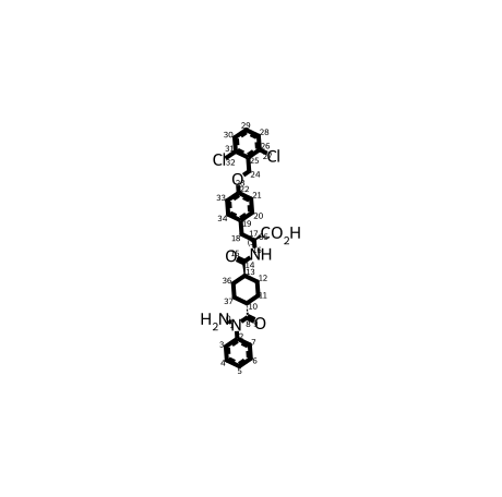 NN(c1ccccc1)C(=O)[C@H]1CC[C@H](C(=O)N[C@@H](Cc2ccc(OCc3c(Cl)cccc3Cl)cc2)C(=O)O)CC1